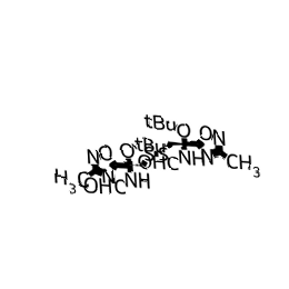 Cc1noc([C@](CSSC[C@@](NC=O)(OC(C)(C)C)c2nc(C)no2)(NC=O)OC(C)(C)C)n1